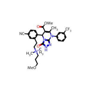 COCCC[N+](C)(C)CCc1cc(C#N)ccc1C1C(C(=O)OC)=C(C)N(c2cccc(C(F)(F)F)c2)c2n[nH]c(=O)n21